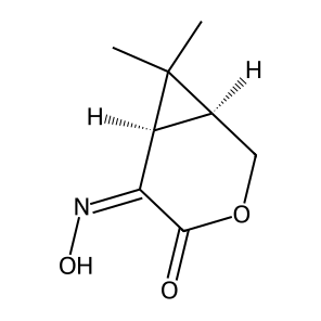 CC1(C)[C@@H]2/C(=N/O)C(=O)OC[C@@H]21